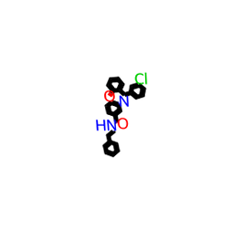 O=C(NCCc1ccccc1)c1ccc2c(c1)N=C(c1cccc(Cl)c1)c1ccccc1O2